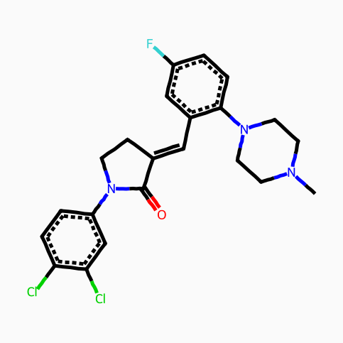 CN1CCN(c2ccc(F)cc2/C=C2\CCN(c3ccc(Cl)c(Cl)c3)C2=O)CC1